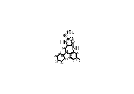 Cc1ccc2c(c1)NC(=O)[C@H](NC(=O)OC(C)(C)C)CN2C1CCCCC1